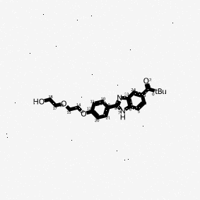 CC(C)(C)C(=O)c1ccc2[nH]c(-c3ccc(OCCOCCO)cc3)nc2c1